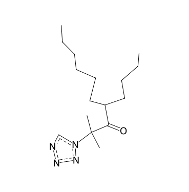 CCCCCCC(CCCC)C(=O)C(C)(C)n1cnnn1